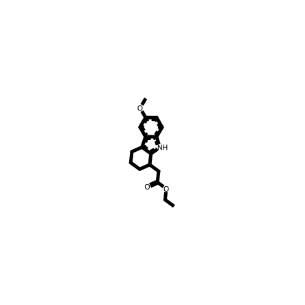 CCOC(=O)CC1CCCc2c1[nH]c1ccc(OC)cc21